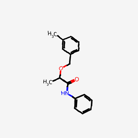 Cc1cccc(COC(C)C(=O)Nc2ccccc2)c1